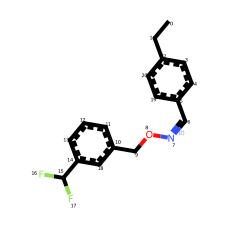 CCc1ccc(/[C]=N\OCc2cccc(C(F)F)c2)cc1